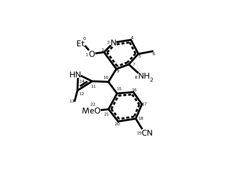 CCOc1ncc(C)c(N)c1C(C1=C(C)N1)c1ccc(C#N)cc1OC